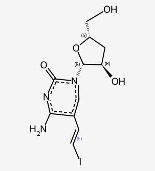 Nc1nc(=O)n([C@@H]2O[C@H](CO)C[C@H]2O)cc1/C=C/I